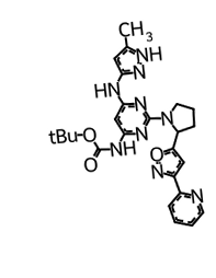 Cc1cc(Nc2cc(NC(=O)OC(C)(C)C)nc(N3CCCC3c3cc(-c4ccccn4)no3)n2)n[nH]1